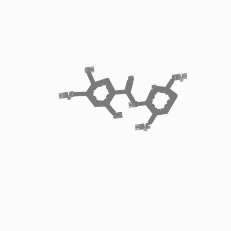 O=C(O)c1ccc(C(=O)O)c(NC(=O)c2cc(O)c(C(=O)O)cc2O)n1